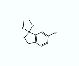 COC1(OC)[CH]Cc2ccc(Br)cc21